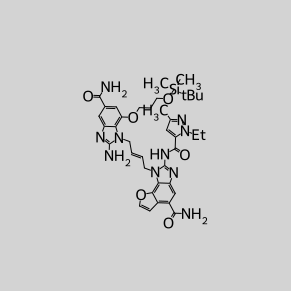 CCn1nc(C)cc1C(=O)Nc1nc2cc(C(N)=O)c3ccoc3c2n1CC=CCn1c(N)nc2cc(C(N)=O)cc(OCCCO[Si](C)(C)C(C)(C)C)c21